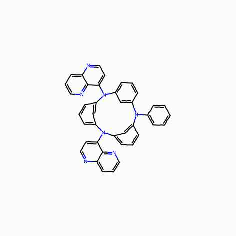 c1ccc(N2c3cccc(c3)N(c3ccnc4cccnc34)c3cccc(c3)N(c3ccnc4cccnc34)c3cccc2c3)cc1